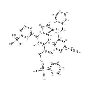 COC(=O)C1=C(C)N(c2cccc(C(F)(F)F)c2)c2n[nH]c(=O)n2[C@@H]1c1ccc(C#N)cc1CC[n+]1ccccc1.O=S(=O)([O-])c1ccccc1